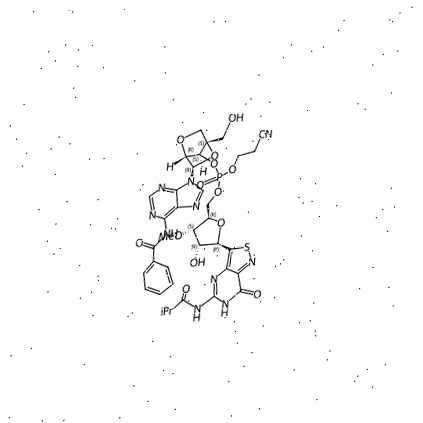 CO[C@H]1[C@@H](O)[C@H](c2snc3c(=O)[nH]c(NC(=O)C(C)C)nc23)O[C@@H]1COP(=O)(OCCC#N)O[C@H]1[C@H]2OC[C@]1(CO)O[C@H]2n1cnc2c(NC(=O)c3ccccc3)ncnc21